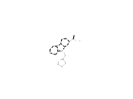 COC(=O)c1ccc2c3ccccc3n(CC3CCCO3)c2c1